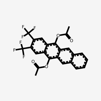 CC(=O)Oc1c2cc(C(F)(F)F)c(C(F)(F)F)cc2c(OC(C)=O)c2cc3ccccc3cc12